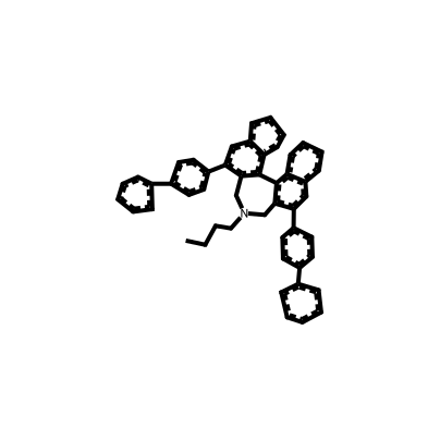 CCCCN1Cc2c(-c3ccc(-c4ccccc4)cc3)cc3ccccc3c2-c2c(c(-c3ccc(-c4ccccc4)cc3)cc3ccccc23)C1